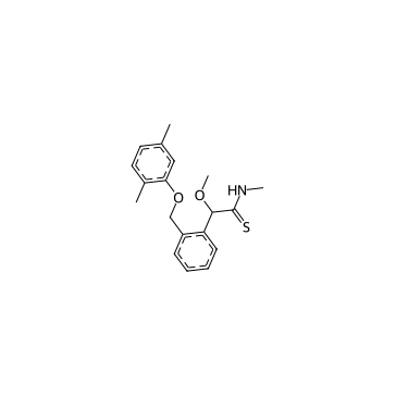 CNC(=S)C(OC)c1ccccc1COc1cc(C)ccc1C